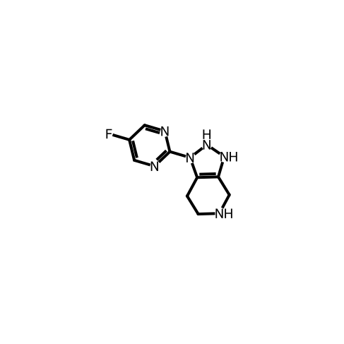 Fc1cnc(N2NNC3=C2CCNC3)nc1